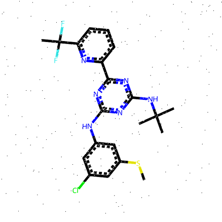 CSc1cc(Cl)cc(Nc2nc(NC(C)(C)C)nc(-c3cccc(C(C)(F)F)n3)n2)c1